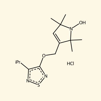 CC(C)c1nsnc1OCC1=CC(C)(C)N(O)C1(C)C.Cl